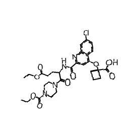 CCOC(=O)CCC(NC(=O)c1cc(OC2(C(=O)O)CCC2)c2ccc(Cl)cc2n1)C(=O)N1CCN(C(=O)OCC)CC1